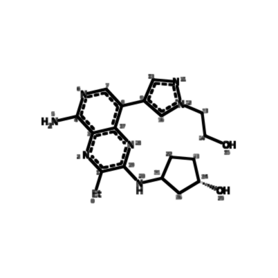 CCc1nc2c(N)ncc(-c3cnn(CCO)c3)c2nc1NC1CC[C@H](O)C1